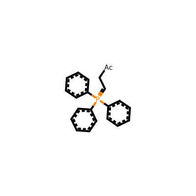 CC(=O)CC=P(c1ccccc1)(c1ccccc1)c1ccccc1